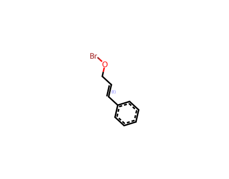 BrOC/C=C/c1ccccc1